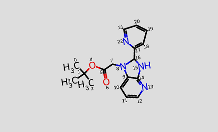 CC(C)(C)OC(=O)CN1c2cccnc2NC1c1ccccn1